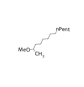 [CH2]OC(C)CCCCCCCCCCC